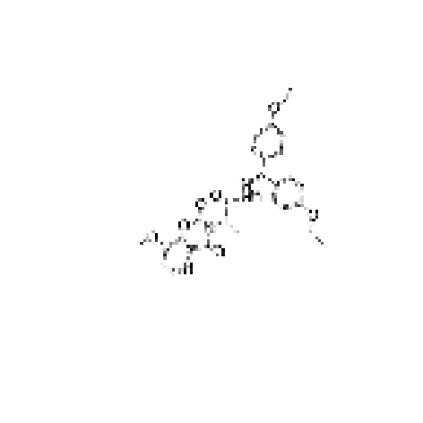 CCOc1ccc(C(=NNC(=O)[C@H](C)n2c(=O)oc3c(OC)ccnc3c2=O)c2ccc(OCC)cc2)cc1